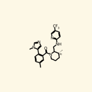 Cc1ccc(-c2cncn2C)c(C(=O)N2CCC[C@@H](C)C2CNc2ccc(C(F)(F)F)cn2)c1